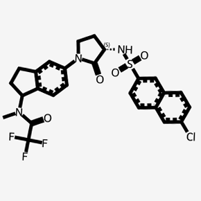 CN(C(=O)C(F)(F)F)C1CCc2cc(N3CC[C@H](NS(=O)(=O)c4ccc5cc(Cl)ccc5c4)C3=O)ccc21